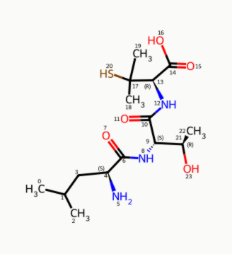 CC(C)C[C@H](N)C(=O)N[C@H](C(=O)N[C@H](C(=O)O)C(C)(C)S)[C@@H](C)O